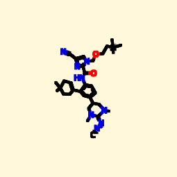 [C-]#[N+]N=C1N(C)CC(c2ccc(NC(=O)c3nc(C#N)cn3COCC[Si](C)(C)C)c(C3=CCC(C)(C)CC3)c2)CN1C